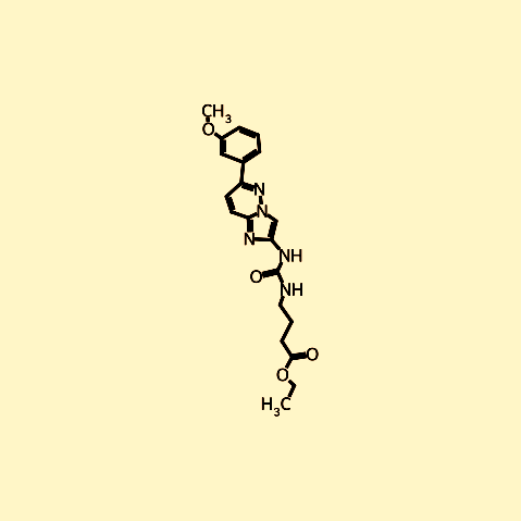 CCOC(=O)CCCNC(=O)Nc1cn2nc(-c3cccc(OC)c3)ccc2n1